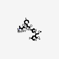 COCC(c1cc(F)cnc1OC)n1cc(NC(=O)[C@@H](NC(=O)C(=N)/C(C)=N\O)[C@H]2CC[C@H](C)CC2)cn1